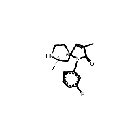 CC1=C[C@]2(CCN[C@@H](C)C2)N(c2cccc(F)c2)C1=O